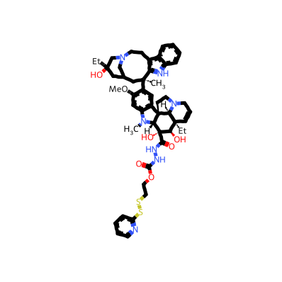 CCC1(O)CC2CN(CCc3c([nH]c4ccccc34)[C@@](C)(c3cc4c(cc3OC)N(C)[C@H]3[C@](O)(C(=O)NNC(=O)OCCSSc5ccccn5)[C@H](O)[C@]5(CC)C=CCN6CC[C@]43[C@@H]65)C2)C1